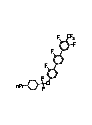 CCCC1CCC(C(F)(F)Oc2ccc(-c3ccc(-c4cc(F)c(C(F)(F)F)c(F)c4)c(F)c3)c(F)c2)CC1